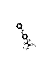 C=C(C)C(=O)Nc1ccc(N=Nc2ccccc2)cc1